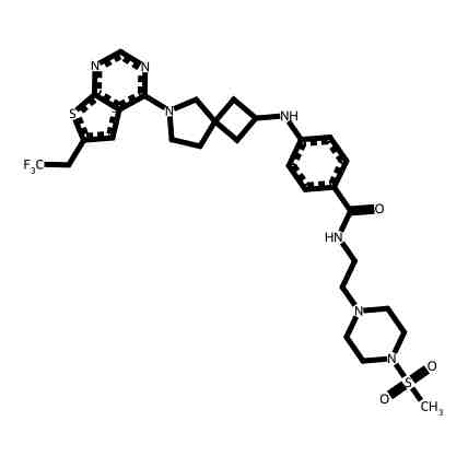 CS(=O)(=O)N1CCN(CCNC(=O)c2ccc(NC3CC4(CCN(c5ncnc6sc(CC(F)(F)F)cc56)C4)C3)cc2)CC1